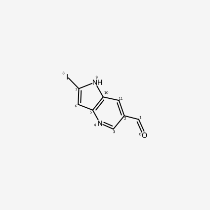 O=Cc1cnc2cc(I)[nH]c2c1